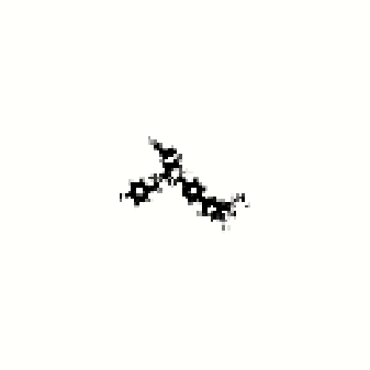 N#Cc1cnc(NCc2ccc(-c3cnc4[nH]nc(N)c4c3)cc2)c(C(=O)NCc2ccc(F)c(F)c2)n1